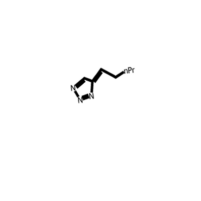 CCCCC=C1C=NN=N1